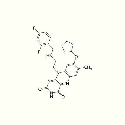 Cc1cc2nc3c(=O)[nH]c(=O)nc-3n(CCNCc3ccc(F)cc3F)c2cc1OC1CCCC1